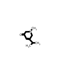 CC(C)C1=CC(=O)CN(C)C1